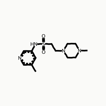 Cc1cncc(NS(=O)(=O)CCN2CCN(C)CC2)c1